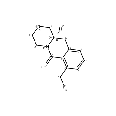 O=C1c2c(CF)cccc2C[C@@H]2CNCCN12